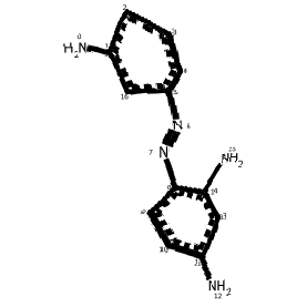 Nc1cccc(N=Nc2ccc(N)cc2N)c1